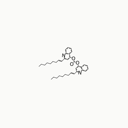 CCCCCCCC=Cc1cc(OC(=O)Oc2cc(C=CCCCCCCC)nc3ccccc23)c2ccccc2n1